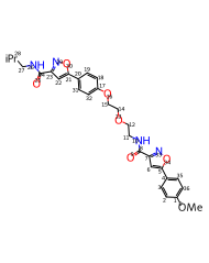 COc1ccc(-c2cc(C(=O)NCCOCCOc3ccc(-c4cc(C(=O)NCC(C)C)no4)cc3)no2)cc1